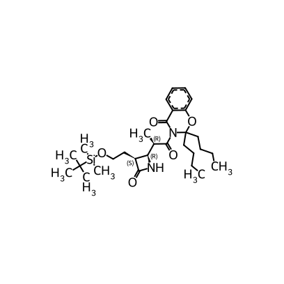 CCCCC1(CCCC)Oc2ccccc2C(=O)N1C(=O)[C@H](C)[C@H]1NC(=O)[C@H]1CCO[Si](C)(C)C(C)(C)C